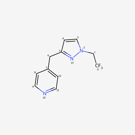 FC(F)(F)Cn1ccc(Cc2ccncc2)n1